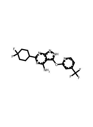 Nc1nc(C2CCC(F)(F)CC2)nc2n[nH]c(Oc3cc(C(F)(F)F)ccn3)c12